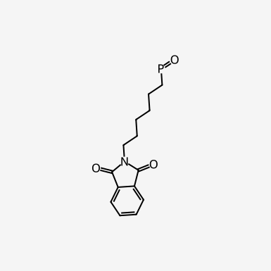 O=PCCCCCCN1C(=O)c2ccccc2C1=O